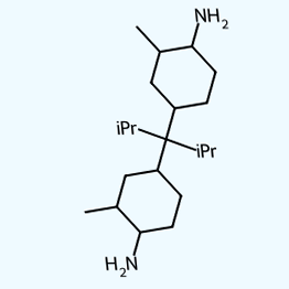 CC1CC(C(C(C)C)(C(C)C)C2CCC(N)C(C)C2)CCC1N